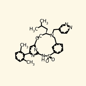 Cc1cccc(C)c1-c1cc2nc(n1)NS(=O)(=O)c1cccc(c1)CN(Cc1ccnnc1)[C@H](CC(C)C)CO2